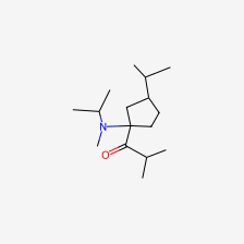 CC(C)C(=O)C1(N(C)C(C)C)CCC(C(C)C)C1